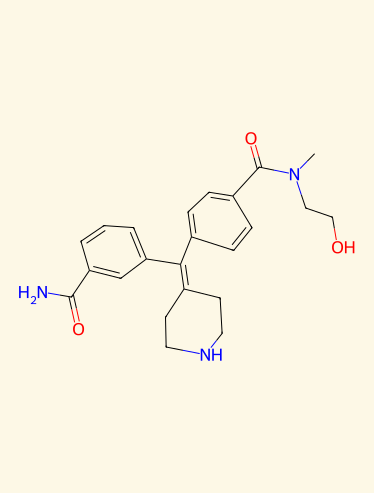 CN(CCO)C(=O)c1ccc(C(=C2CCNCC2)c2cccc(C(N)=O)c2)cc1